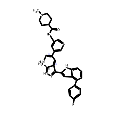 C[C@@H]1NN=C(c2cc3c(-c4ccc(F)cc4)cccc3[nH]2)/C1=C/C(=C\N)c1cncc(NC(=O)C2CCN(C)CC2)c1